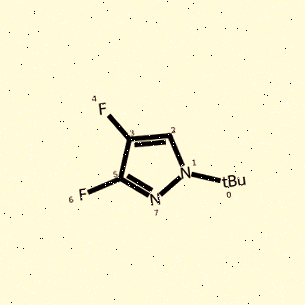 CC(C)(C)n1cc(F)c(F)n1